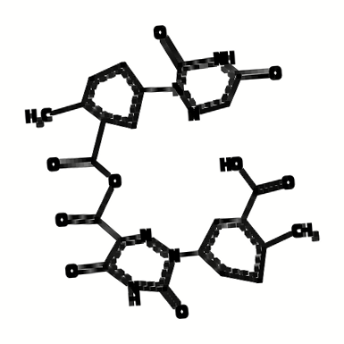 Cc1ccc(-n2nc(C(=O)OC(=O)c3cc(-n4ncc(=O)[nH]c4=O)ccc3C)c(=O)[nH]c2=O)cc1C(=O)O